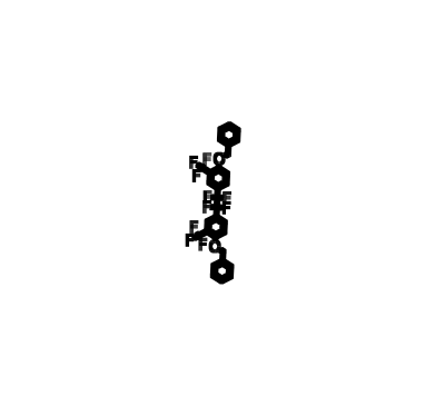 FC(F)(F)c1cc(C(F)(F)C(F)(F)c2ccc(OCc3ccccc3)c(C(F)(F)F)c2)ccc1OCc1ccccc1